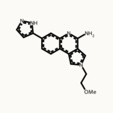 COCCn1cc2c(N)nc3cc(-c4ccn[nH]4)ccc3c2c1